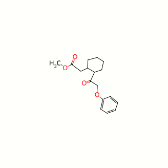 COC(=O)CC1CCCCC1C(=O)COc1ccccc1